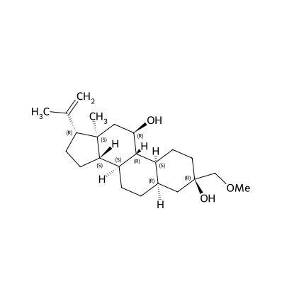 C=C(C)[C@H]1CC[C@H]2[C@@H]3CC[C@@H]4C[C@@](O)(COC)CC[C@@H]4[C@H]3[C@H](O)C[C@]12C